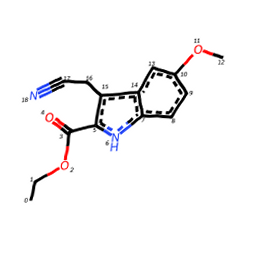 CCOC(=O)c1[nH]c2ccc(OC)cc2c1CC#N